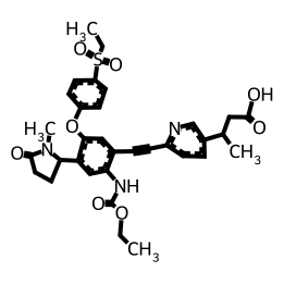 CCOC(=O)Nc1cc(C2CCC(=O)N2C)c(Oc2ccc(S(=O)(=O)CC)cc2)cc1C#Cc1ccc(C(C)CC(=O)O)cn1